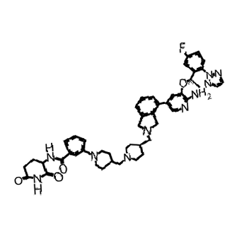 C[C@@H](Oc1cc(-c2cccc3c2CN(CC2CCN(CC4CCN(c5cccc(C(=O)NC6CCC(=O)NC6=O)c5)CC4)CC2)C3)cnc1N)c1cc(F)ccc1-n1nccn1